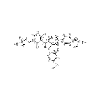 COc1ccc([C@@H]2CN(c3c(C)ccn(CCC(F)(F)F)c3=O)C(=O)[C@H]2NC(=O)c2ccc(OC(F)F)cc2)c(F)c1